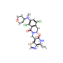 CCN(c1cc(Cl)c2c(c1Cl)C(=O)N(Cc1c(=O)[nH]c(C)c3ncsc13)CC2)C1CCOCC1